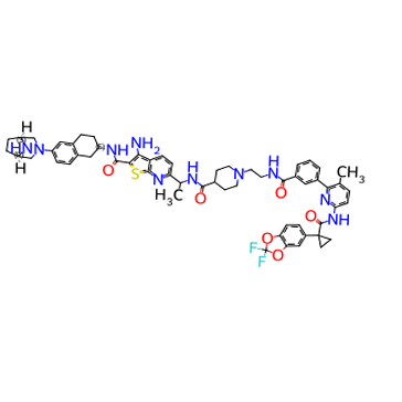 Cc1ccc(NC(=O)C2(c3ccc4c(c3)OC(F)(F)O4)CC2)nc1-c1cccc(C(=O)NCCN2CCC(C(=O)NC(C)c3ccc4c(N)c(C(=O)N[C@H]5CCc6cc(N7C[C@H]8CC[C@@H](C7)N8)ccc6C5)sc4n3)CC2)c1